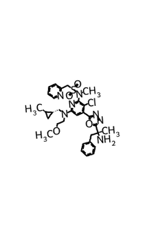 COCCN(C[C@@H]1C[C@H]1C)c1cc(-c2nnc([C@](C)(N)Cc3ccccc3)o2)c(Cl)c(N(C)S(=O)(=O)Cc2ccccn2)n1